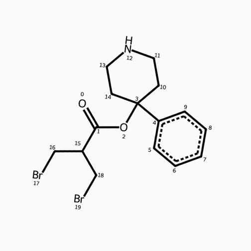 O=C(OC1(c2ccccc2)CCNCC1)C(CBr)CBr